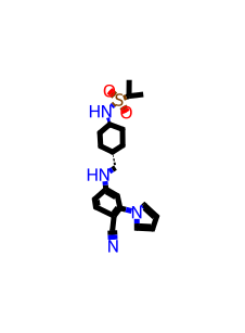 CC(C)S(=O)(=O)N[C@H]1CC[C@H](CNc2ccc(C#N)c(-n3cccc3)c2)CC1